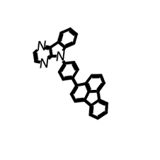 c1ccc2c(c1)-c1cccc3c(-c4ccc(-n5c6ccccc6c6nccnc65)cc4)ccc-2c13